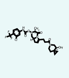 C[C@H]1C(=O)N2C(CCC(=O)N3CCC4(CC4)[C@H](O)C3)=CC[C@H]2CN1OC(=O)Nc1ccc(C(F)(F)F)c(Cl)c1